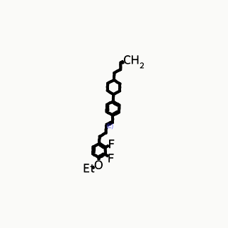 C=CCCC1CCC(c2ccc(/C=C/CCc3ccc(OCC)c(F)c3F)cc2)CC1